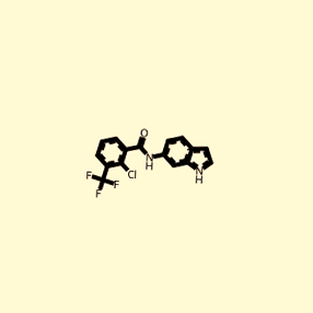 O=C(Nc1ccc2cc[nH]c2c1)c1cccc(C(F)(F)F)c1Cl